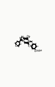 CO[C@H]1CC[C@H](Cn2c(C)cn3c(C4CCOCC4)nnc3c2=O)CC1